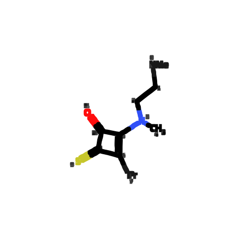 CNCCN(C)c1c(C(C)C)c(=S)c1=O